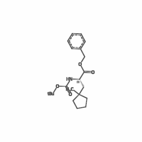 CC1(C[C@H](NC(=O)OC(C)(C)C)C(=O)OCc2ccccc2)CCCC1